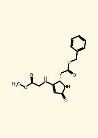 COC(=O)CNC1=CC(=O)N[C@H]1CC(=O)OCc1ccccc1